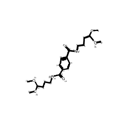 COC(CCCNC(=O)c1ccc(C(=O)NCCCC(OC)OC)cc1)OC